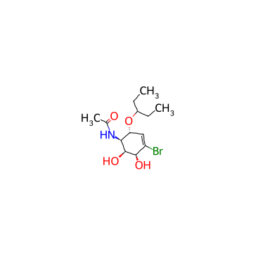 CCC(CC)O[C@@H]1C=C(Br)[C@@H](O)[C@@H](O)[C@H]1NC(C)=O